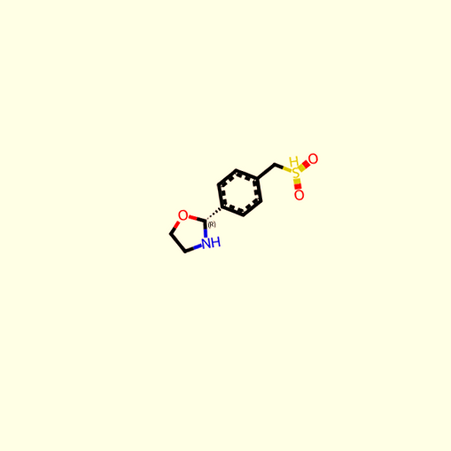 O=[SH](=O)Cc1ccc([C@@H]2NCCO2)cc1